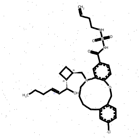 C=CCCNS(=O)(=O)NC(=O)c1ccc2c(c1)N(C[C@@H]1CC[C@H]1C(O)/C=C/CCC)CCCCc1cc(Cl)ccc1CO2